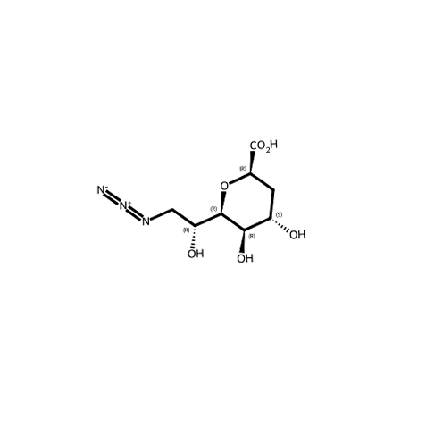 [N-]=[N+]=NC[C@@H](O)[C@H]1O[C@@H](C(=O)O)C[C@H](O)[C@H]1O